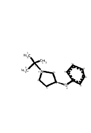 CC(C)(C)N1CC[C@H](Oc2ccccc2)C1